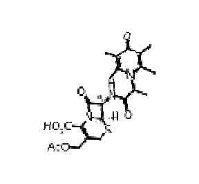 CC(=O)OCC1=C(C(=O)O)N2C(=O)[C@@H](NC(=O)C(C)n3c(C)c(C)c(=O)c(C)c3C)[C@H]2SC1